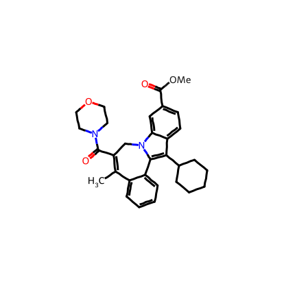 COC(=O)c1ccc2c(C3CCCCC3)c3n(c2c1)CC(C(=O)N1CCOCC1)=C(C)c1ccccc1-3